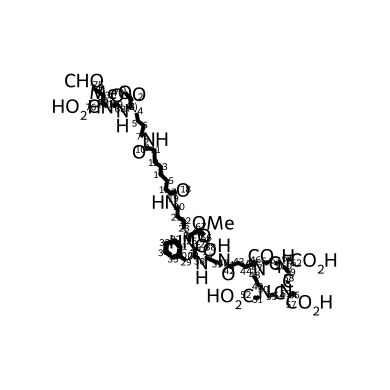 COC(=O)[C@H](CCCCNC(=O)CCCCCCC(=O)NCCCC[C@@H](NC(=O)[C@@H](Cc1ccccc1)NC(=O)CNC(=O)CC[C@@H](C(=O)O)N1CCN(CC(=O)O)CCN(CC(=O)O)CCN(CC(=O)O)CC1)C(=O)OC)NC(=O)N[C@@H](CCC=O)C(=O)O